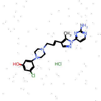 Cc1c(/C=C/CN2CCN(c3cc(O)cc(Cl)c3)CC2)cnn1-c1ccnc(N)n1.Cl